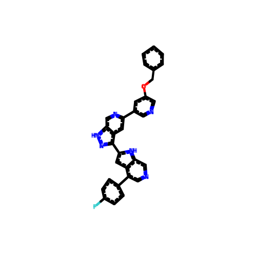 Fc1ccc(-c2cncc3[nH]c(-c4n[nH]c5cnc(-c6cncc(OCc7ccccc7)c6)cc45)cc23)cc1